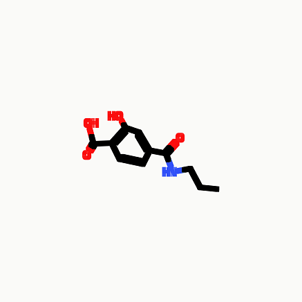 CCCNC(=O)c1ccc(C(=O)O)c(O)c1